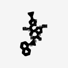 CC(C)(C)[C@@H](C(=O)N1C[C@H](O)C[C@H]1C(=O)N[C@@H]1C[C@H]1c1cccc2ccccc12)n1cc(C2CC2)nn1